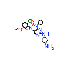 CCOc1ccc(Cl)c(N2Cc3cnc(NC4CCC(N)CC4)nc3N(C3CCCC3)C2=O)c1F